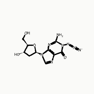 [N-]=[N+]=Nn1c(N)nc2c(ncn2[C@H]2C[C@H](O)[C@@H](CO)O2)c1=O